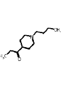 CCCCN1CCC(C(=O)CC)CC1